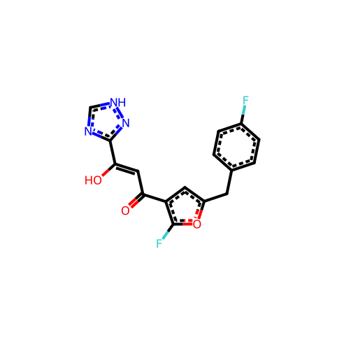 O=C(C=C(O)c1nc[nH]n1)c1cc(Cc2ccc(F)cc2)oc1F